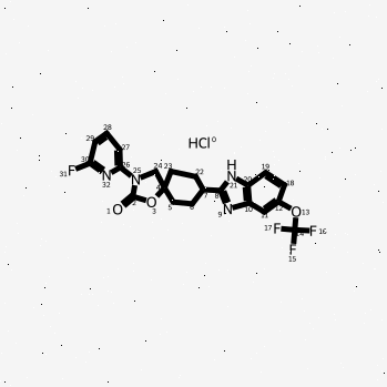 Cl.O=C1OC2(CCC(c3nc4cc(OC(F)(F)F)ccc4[nH]3)CC2)CN1c1cccc(F)n1